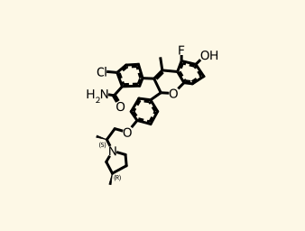 CC1=C(c2ccc(Cl)c(C(N)=O)c2)C(c2ccc(OC[C@H](C)N3CC[C@@H](C)C3)cc2)Oc2ccc(O)c(F)c21